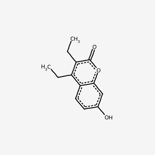 CCc1c(CC)c2ccc(O)cc2oc1=O